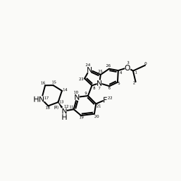 CC(C)Oc1ccn2c(-c3nc(N[C@@H]4CCCNC4)ccc3F)cnc2c1